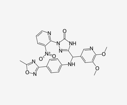 COc1cc(C(Nc2ccc(-c3noc(C)n3)cc2)c2nn(-c3ncccc3[N+](=O)[O-])c(=O)[nH]2)cnc1OC